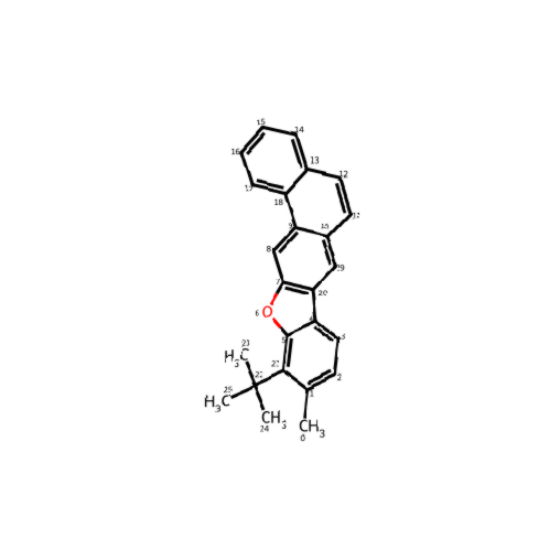 Cc1ccc2c(oc3cc4c(ccc5ccccc54)cc32)c1C(C)(C)C